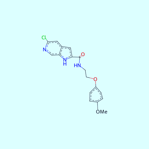 COc1ccc(OCCNC(=O)c2cc3cc(Cl)ncc3[nH]2)cc1